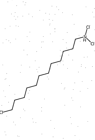 ClCCCCCCCCCCCC[SiH](Cl)Cl